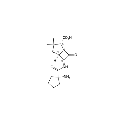 CC1(C)S[C@@H]2[C@H](NC(=O)C3(N)CCCC3)C(=O)N2[C@H]1C(=O)O